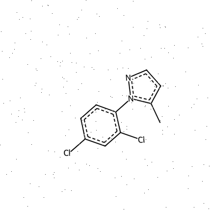 Cc1[c]cnn1-c1ccc(Cl)cc1Cl